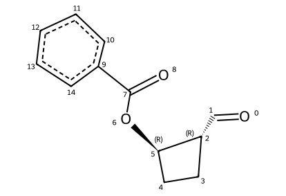 O=C[C@@H]1CC[C@H]1OC(=O)c1ccccc1